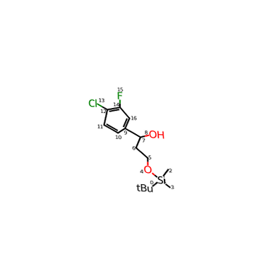 CC(C)(C)[Si](C)(C)OCCC(O)c1ccc(Cl)c(F)c1